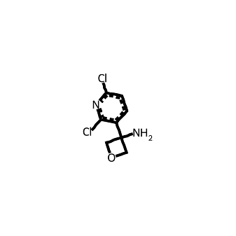 NC1(c2ccc(Cl)nc2Cl)COC1